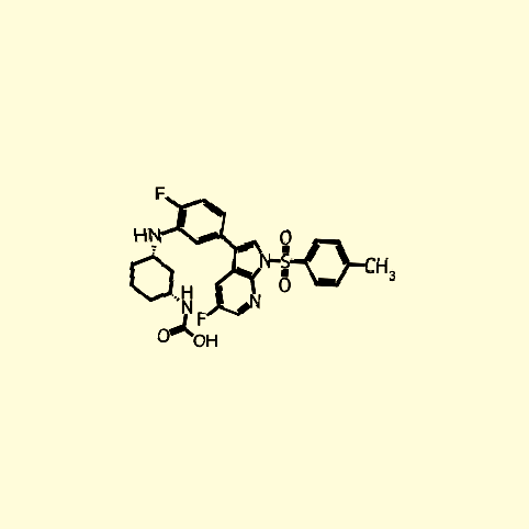 Cc1ccc(S(=O)(=O)n2cc(-c3ccc(F)c(N[C@H]4CCC[C@@H](NC(=O)O)C4)c3)c3cc(F)cnc32)cc1